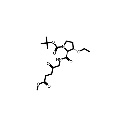 CCO[C@H]1CCN(C(=O)OC(C)(C)C)[C@@H]1C(=O)NCC(=O)CCC(=O)OC